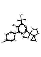 CC(C)(O)c1cc(C2(CN)OCCC23CC3)nc(-c2ccc(F)cc2)c1F